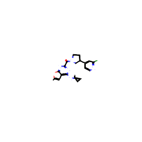 Cc1cc2c(NC3(C)CC3)nc(C(=O)N3CCC(c4ccnc(F)c4)C3)nc2o1